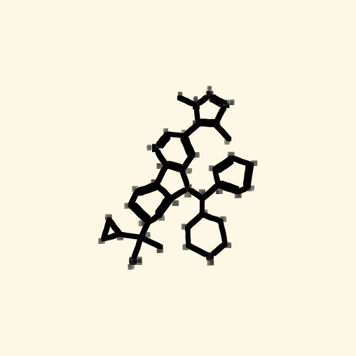 Cc1nnn(C)c1-c1cnc2c3ccc(C(C)(O)C4CC4)cc3n(C(c3ccccc3)C3CCOCC3)c2c1